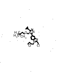 C[Si](C)(C)CCOCn1c(-c2ccc3c(c2)nc(CCl)n3CC2CCO2)nnc1C1CC1